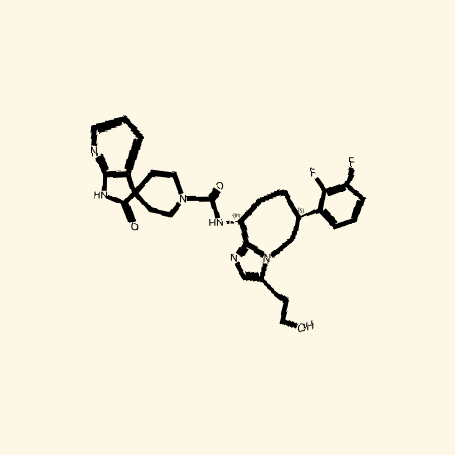 O=C(N[C@@H]1CC[C@@H](c2cccc(F)c2F)Cn2c(CCO)cnc21)N1CCC2(CC1)C(=O)Nc1ncccc12